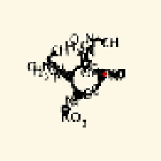 C#C/C=C(\C=C(/C)N=Nc1cc2c(O)c(c1)Cc1cc(N=N/C(C)=C/C(=C\C#C)[N+](=O)[O-])cc(c1O)Cc1cc(N=NC3=CC([N+](=O)[O-])=CC3)cc(c1O)CCCCc1cc(N=NC3=CC=CC3)cc(c1O)C2)[N+](=O)[O-]